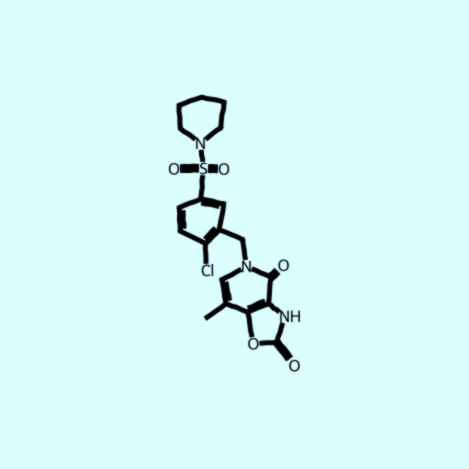 Cc1cn(Cc2cc(S(=O)(=O)N3CCCCC3)ccc2Cl)c(=O)c2[nH]c(=O)oc12